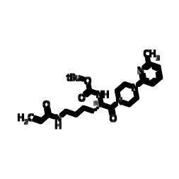 C=CC(=O)NCCCC[C@H](NC(=O)OC(C)(C)C)C(=O)N1CCN(c2cccc(C)n2)CC1